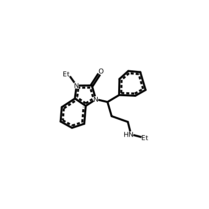 CCNCCC(c1ccccc1)n1c(=O)n(CC)c2ccccc21